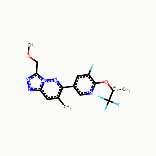 COCc1nnc2cc(C)c(-c3cnc(O[C@H](C)C(F)(F)F)c(F)c3)nn12